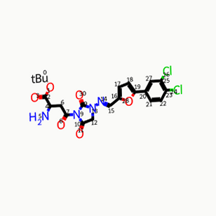 CC(C)(C)OC(=O)C(N)CC(=O)N1C(=O)CN(N=Cc2ccc(-c3ccc(Cl)c(Cl)c3)o2)C1=O